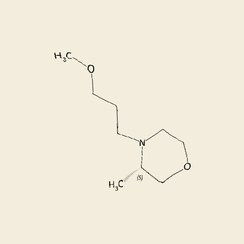 COCCCN1CCOC[C@@H]1C